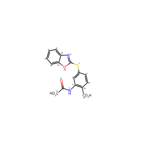 O=C(O)C(=O)Nc1cc(Sc2nc3ccccc3o2)ccc1C(=O)O